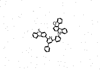 c1ccc(-c2cc(-c3cccc(-n4c5ccccc5c5c6c(ccc54)oc4ccccc46)c3)nc(-c3ccc4sc5ccccc5c4c3)c2)cc1